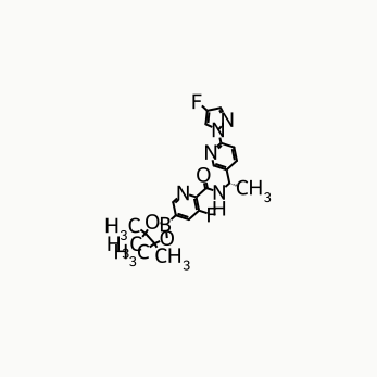 C[C@H](NC(=O)c1ncc(B2OC(C)(C)C(C)(C)O2)cc1F)c1ccc(-n2cc(F)cn2)nc1